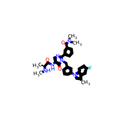 CN[C@@H](C)C(=O)Nc1cnc(-c2cccc(C(=O)N(C)C)c2)n(Cc2cccc(-n3cc(C)c4cc(F)ccc43)c2)c1=O